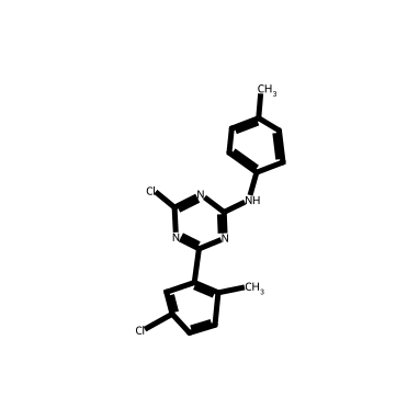 Cc1ccc(Nc2nc(Cl)nc(-c3cc(Cl)ccc3C)n2)cc1